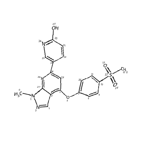 Cn1ncc2c(Oc3ccc(S(C)(=O)=O)cc3)cc(-c3ccc(O)nc3)nc21